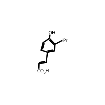 CC(C)c1cc(C=CC(=O)O)ccc1O